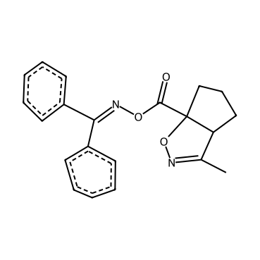 CC1=NOC2(C(=O)ON=C(c3ccccc3)c3ccccc3)CCCC12